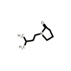 CC(C)CCN1CCCC1=O